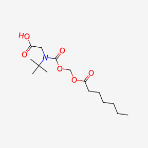 CCCCCCC(=O)OCOC(=O)N(CC(=O)O)C(C)(C)C